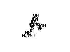 CCn1c(=O)c(CC(=O)O)cc2ccc(OCCNC(=N)N)cc21.O=C(O)C(F)(F)F